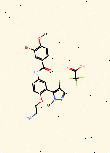 COc1ccc(C(=O)Nc2ccc(OCCN)c(-c3c(Cl)cnn3C)c2)cc1Br.O=C(O)C(F)(F)F